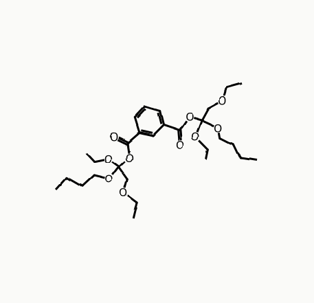 CCCCOC(COCC)(OCC)OC(=O)c1cccc(C(=O)OC(COCC)(OCC)OCCCC)c1